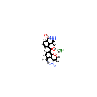 Cc1c[nH]c(=O)c2cccc(C(=O)c3ccc([C@@H](C)N)c4c3OCCC4)c12.Cl